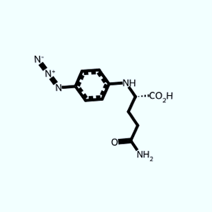 [N-]=[N+]=Nc1ccc(N[C@@H](CCC(N)=O)C(=O)O)cc1